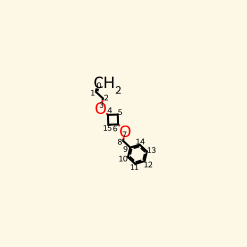 C=CCOC1CC(OCc2ccccc2)C1